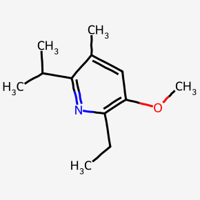 CCc1nc(C(C)C)c(C)cc1OC